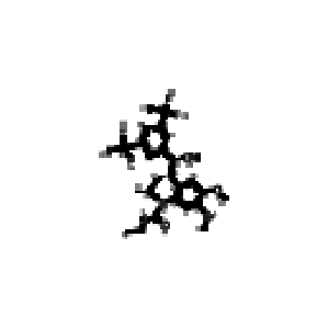 CCOC(=O)N1c2cc(OC)c(OC)cc2[C@@H]([C@H](O)c2cc(C(F)(F)F)cc(C(F)(F)F)c2)C[C@H]1C